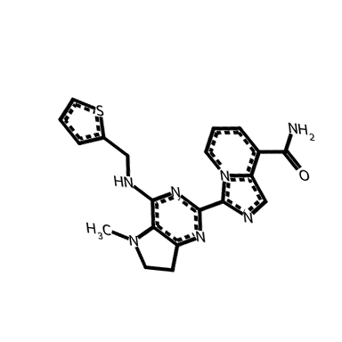 CN1CCc2nc(-c3ncc4c(C(N)=O)cccn34)nc(NCc3cccs3)c21